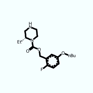 CCCCOc1ccc(F)c(COC(=O)N2CCNC[C@H]2CC)c1